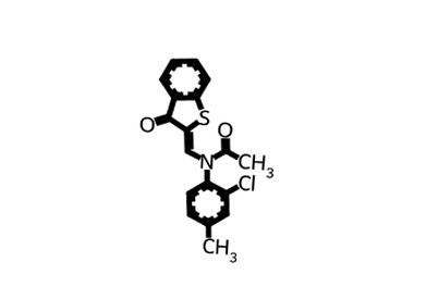 CC(=O)N(/C=C1\Sc2ccccc2C1=O)c1ccc(C)cc1Cl